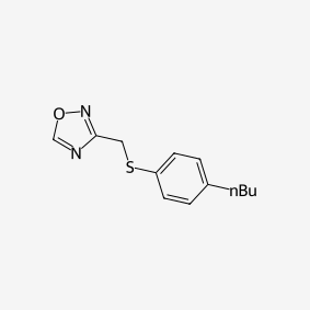 CCCCc1ccc(SCc2ncon2)cc1